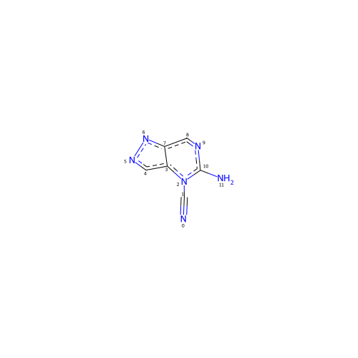 N#Cn1c2cnnc-2cnc1N